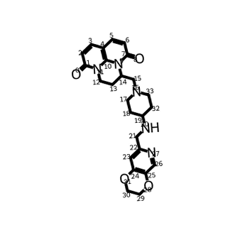 O=c1ccc2ccc(=O)n3c2n1CCC3CN1CCC(NCc2cc3c(cn2)OCCO3)CC1